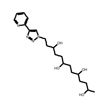 CC(O)CCC(O)CCC(O)CCC(O)CCn1cc(-c2ccccn2)nn1